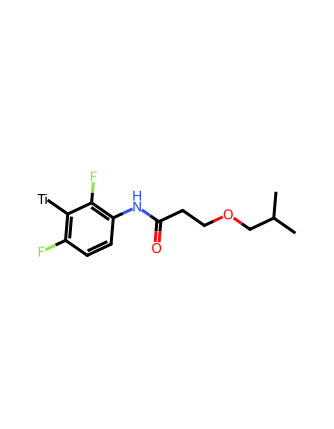 CC(C)COCCC(=O)Nc1ccc(F)[c]([Ti])c1F